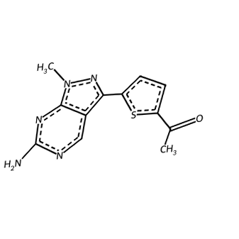 CC(=O)c1ccc(-c2nn(C)c3nc(N)ncc23)s1